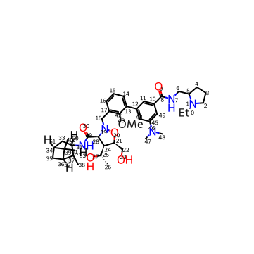 CCN1CCCC1CNC(=O)c1cc(-c2cccc(CN3O[C@@H](CO)[C@@H]([C@H](C)O)[C@H]3C(=O)N[C@H]3C[C@H]4C[C@@H]([C@@H]3C)C4(C)C)c2OC)cc(N(C)C)c1